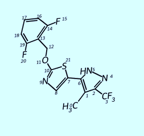 Cc1c(C(F)(F)F)n[nH]c1-c1cnc(OCc2c(F)cccc2F)s1